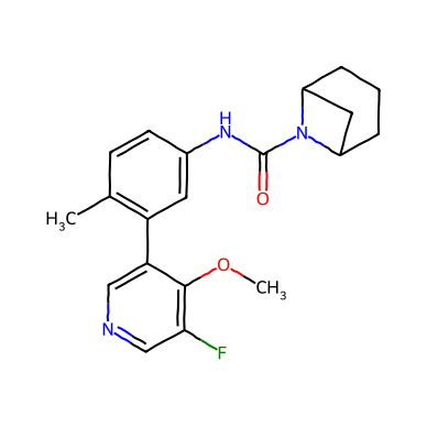 COc1c(F)cncc1-c1cc(NC(=O)N2C3CCCC2C3)ccc1C